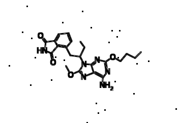 CCCCOc1nc(N)c2nc(OC)n(C(CC)Cc3cccc4c3C(=O)NC4=O)c2n1